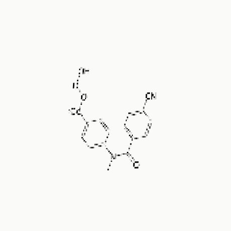 CN(C(=O)c1ccc(C#N)cc1)c1cc[c]([Ge][O]OO)cc1